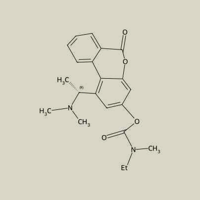 CCN(C)C(=O)Oc1cc([C@@H](C)N(C)C)c2c(c1)oc(=O)c1ccccc12